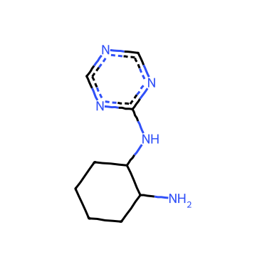 NC1CCCCC1Nc1ncncn1